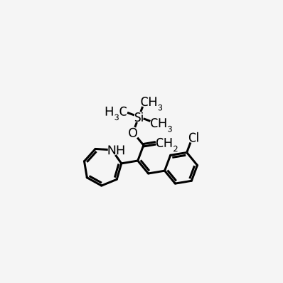 C=C(O[Si](C)(C)C)C(=Cc1cccc(Cl)c1)C1=CC=CC=CN1